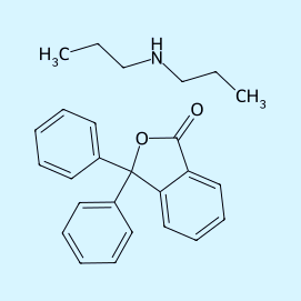 CCCNCCC.O=C1OC(c2ccccc2)(c2ccccc2)c2ccccc21